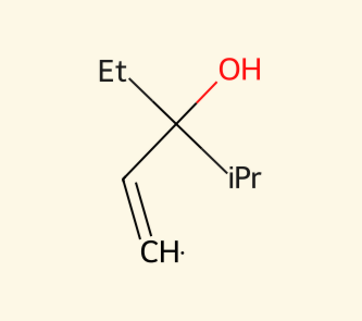 [CH]=CC(O)(CC)C(C)C